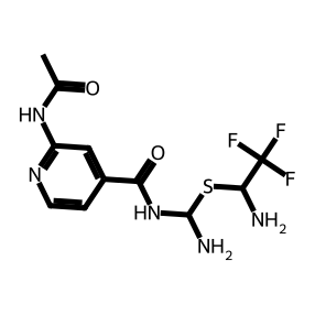 CC(=O)Nc1cc(C(=O)NC(N)SC(N)C(F)(F)F)ccn1